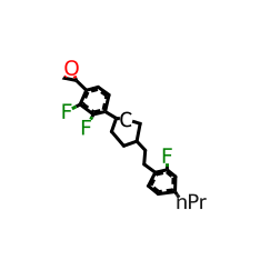 CCCc1ccc(CCC2CCC(c3ccc(C4CO4)c(F)c3F)CC2)c(F)c1